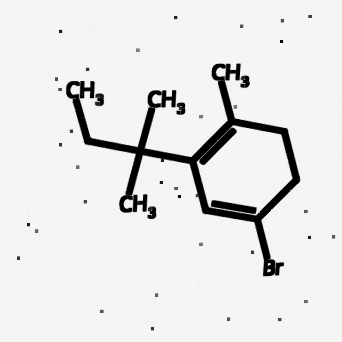 CCC(C)(C)C1=C(C)CCC(Br)=C1